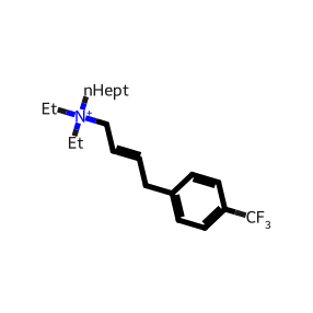 CCCCCCC[N+](CC)(CC)CC=CCc1ccc(C(F)(F)F)cc1